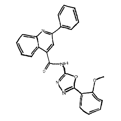 COc1ccccc1-c1nnc(NC(=O)c2cc(-c3ccccc3)nc3ccccc23)o1